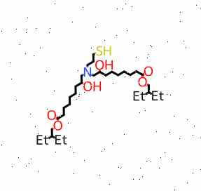 CCC(CC)COC(=O)CCCCCCC(O)CN(CCCS)CC(O)CCCCCCC(=O)OCC(CC)CC